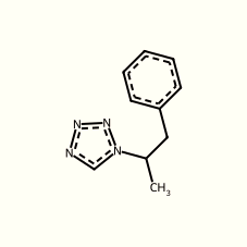 CC(Cc1ccccc1)n1cnnn1